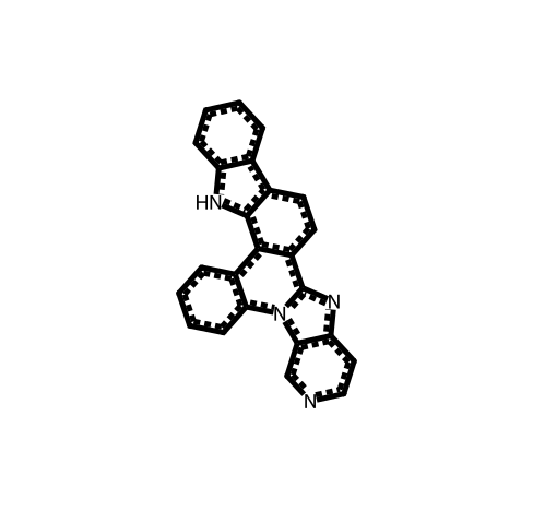 c1ccc2c(c1)[nH]c1c2ccc2c1c1ccccc1n1c3cnccc3nc21